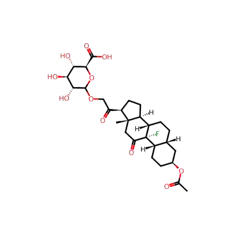 CC(=O)O[C@H]1CC[C@H]2[C@H](CC[C@H]3[C@@H]4CC[C@H](C(=O)COC5O[C@H](C(=O)O)[C@@H](O)[C@H](O)[C@H]5O)[C@@]4(C)CC(=O)[C@]23F)C1